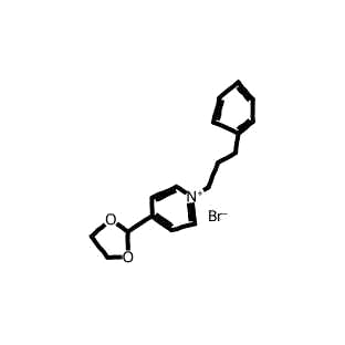 [Br-].c1ccc(CCC[n+]2ccc(C3OCCO3)cc2)cc1